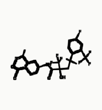 Cc1noc(=O)c2ccc(NC(=O)C(O)(CC(C)(C)c3ccc(F)cc3C(F)(F)F)C(F)(F)F)cc12